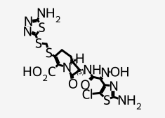 Nc1nnc(SCSC2=C(C(=O)O)N3C(=O)[C@@H](NC(=O)C(=NO)c4nc(N)sc4Cl)[C@H]3CC2)s1